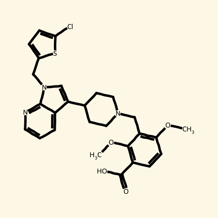 COc1ccc(C(=O)O)c(OC)c1CN1CCC(c2cn(Cc3ccc(Cl)s3)c3ncccc23)CC1